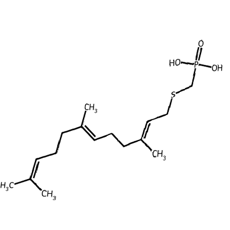 CC(C)=CCCC(C)=CCCC(C)=CCSCP(=O)(O)O